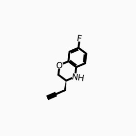 C#CC[C@H]1COc2cc(F)ccc2N1